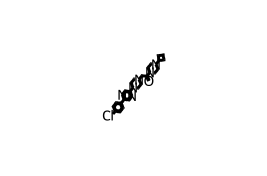 O=C(CN1CCN(c2cnc(-c3ccc(Cl)cc3)cn2)CC1)N1CCN(C2CCC2)CC1